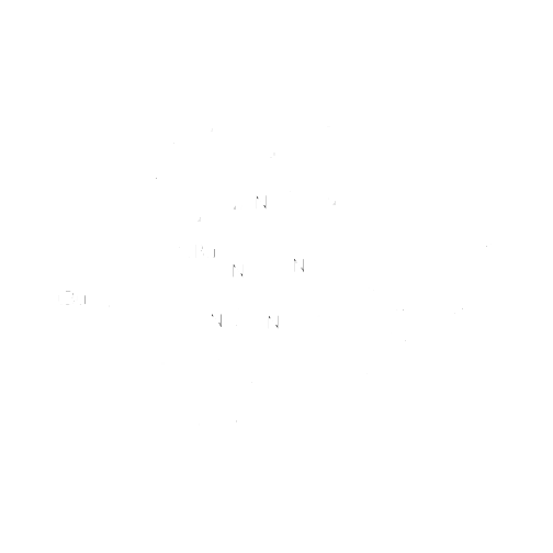 CC(C)(C)c1cc(C(C)(C)C)c2c(c1)c1ccccc1n2-c1nc(-c2cccc(-c3ccccc3)c2)nc(-n2c3ccccc3c3ccccc32)n1